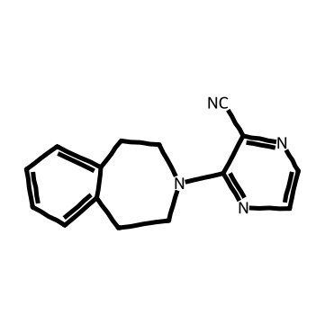 N#Cc1nccnc1N1CCc2ccccc2CC1